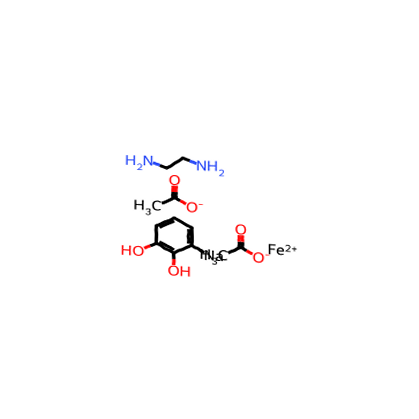 CC(=O)[O-].CC(=O)[O-].NCCN.Oc1ccc[c]([Na])c1O.[Fe+2]